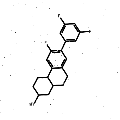 CCCC1CCC2c3cc(F)c(-c4cc(F)cc(F)c4)cc3CCC2C1